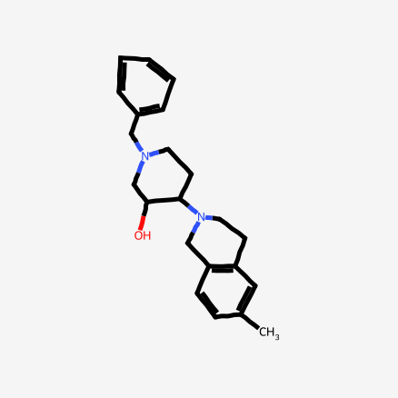 Cc1ccc2c(c1)CCN(C1CCN(Cc3ccccc3)CC1O)C2